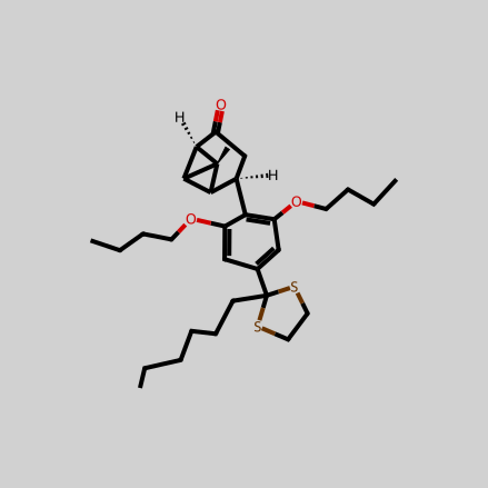 CCCCCCC1(c2cc(OCCCC)c([C@@H]3CC(=O)[C@@H]4C5C3[C@]54C)c(OCCCC)c2)SCCS1